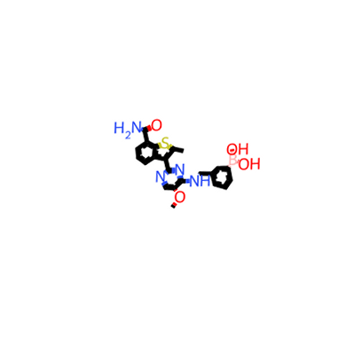 COc1cnc(-c2c(C)sc3c(C(N)=O)cccc23)nc1NCc1cccc(B(O)O)c1